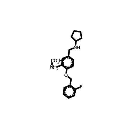 Fc1ccccc1COc1ccc(CNC2CCCC2)cc1Cl.NC(=O)O